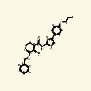 CCCOc1ccc(-c2cnc(NC(=O)C(CC)C(=N)C(=O)OCc3ccccc3)s2)cc1